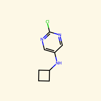 Clc1ncc(NC2CCC2)cn1